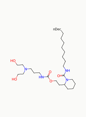 CCCCCCCCCCCCCCCCCCNC(=O)N1CCCCC1CCOC(=O)NCCCN(CCO)CCO